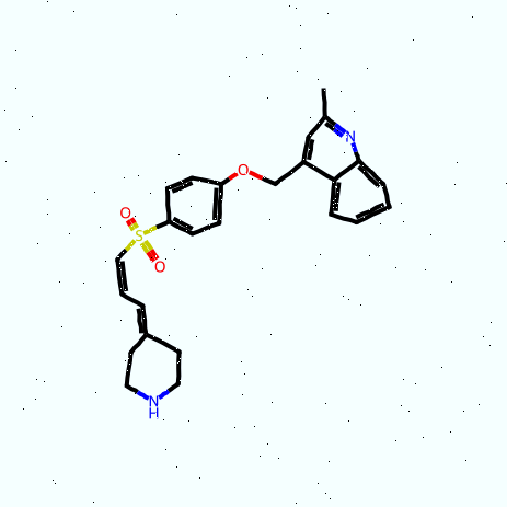 Cc1cc(COc2ccc(S(=O)(=O)/C=C\C=C3CCNCC3)cc2)c2ccccc2n1